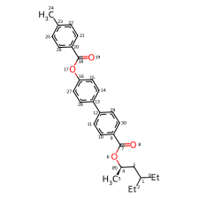 CCC(CC)C[C@@H](C)OC(=O)c1ccc(-c2ccc(OC(=O)c3ccc(C)cc3)cc2)cc1